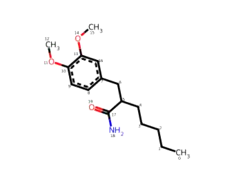 CCCCCC(Cc1ccc(OC)c(OC)c1)C(N)=O